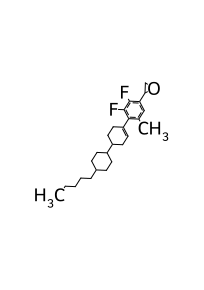 CCCCCC1CCC(C2CC=C(c3c(C)cc(C4CO4)c(F)c3F)CC2)CC1